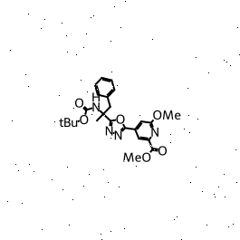 COC(=O)c1cc(-c2nnc(C(C)(Cc3ccccc3)NC(=O)OC(C)(C)C)o2)cc(OC)n1